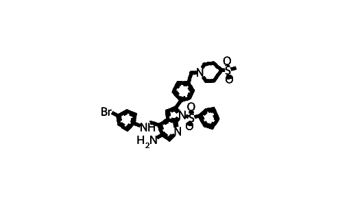 CS(=O)(=O)C1CCN(Cc2ccc(-c3cc4c(CNc5ccc(Br)cc5)c(N)cnc4n3S(=O)(=O)c3ccccc3)cc2)CC1